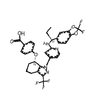 CC[C@H](Nc1cc(-n2nc(C(F)(F)F)c3c2[C@@H](Oc2ccc(C(=O)O)cc2)CCC3)ccn1)c1ccc2c(c1)OC(F)(F)O2